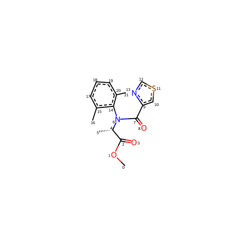 COC(=O)[C@H](C)N(C(=O)c1cscn1)c1c(C)cccc1C